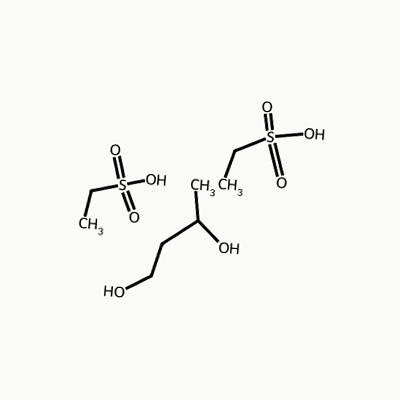 CC(O)CCO.CCS(=O)(=O)O.CCS(=O)(=O)O